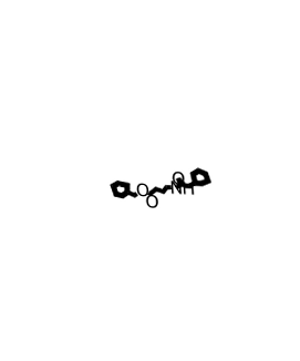 O=C(Cc1ccccc1)NCCCC(=O)OCc1ccccc1